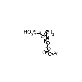 CC(C)OC(=O)OCON=NN(C)CCCC(=O)O